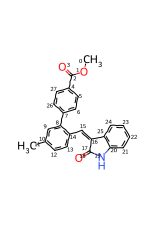 COC(=O)c1ccc(-c2cc(C)ccc2C=C2C(=O)Nc3ccccc32)cc1